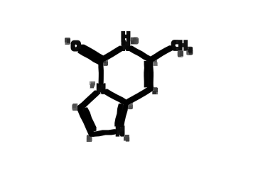 Cc1cc2nccn2c(=O)[nH]1